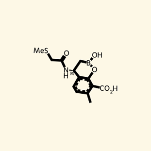 CSCC(=O)N[C@@H]1CB(O)Oc2c1ccc(C)c2C(=O)O